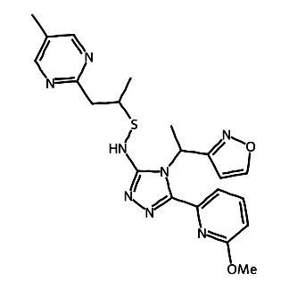 COc1cccc(-c2nnc(NSC(C)Cc3ncc(C)cn3)n2C(C)c2ccon2)n1